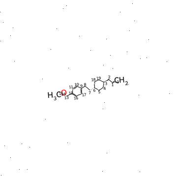 C=CC[C@H]1CC[C@H](CCc2ccc(COC)cc2)CC1